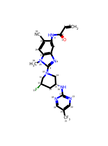 C=CC(=O)Nc1cc2nc(N3C[C@H](F)C[C@@H](Nc4ncc(C(F)(F)F)cn4)C3)n(C)c2cc1C#N